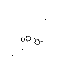 COc1ccc(Cc2[c]ccc(C)c2)cc1